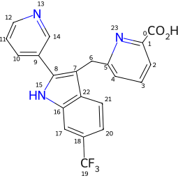 O=C(O)c1cccc(Cc2c(-c3cccnc3)[nH]c3cc(C(F)(F)F)ccc23)n1